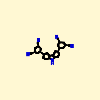 N#Cc1cc(C#N)cc(-c2ccc3[nH]c4ccc(-c5cc(C#N)cc(C#N)c5)cc4c3c2)c1